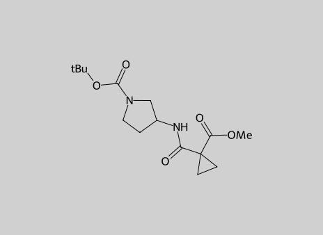 COC(=O)C1(C(=O)NC2CCN(C(=O)OC(C)(C)C)C2)CC1